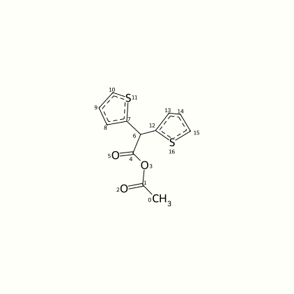 CC(=O)OC(=O)C(c1cccs1)c1cccs1